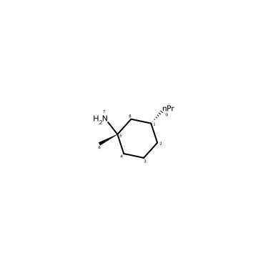 CCC[C@@H]1CCC[C@](C)(N)C1